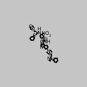 O=[N+]([O-])c1cc(S(=O)(=O)Nc2ncnc3cc(N4CCN(Cc5nccn5-c5ccccc5)CC4)ccc23)ccc1N[C@H](CCN1CCOCC1)CSc1ccccc1